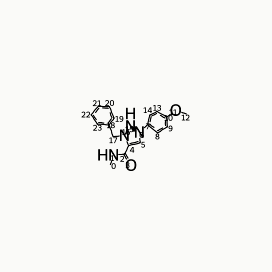 CNC(=O)C1=CN(c2ccc(OC)cc2)NN1Cc1ccccc1